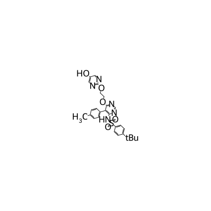 Cc1ccc(-c2c(NS(=O)(=O)c3ccc(C(C)(C)C)cc3)ncnc2OCCOc2ncc(O)cn2)cc1